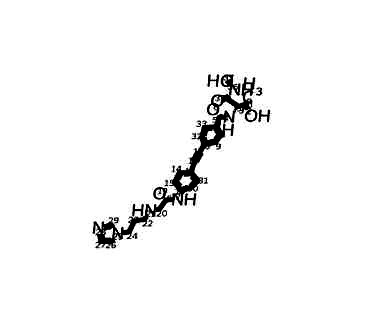 C[C@@H](O)[C@H](NC(=O)c1ccc(C#Cc2ccc(NC(=O)CNCCCn3ccnc3)cc2)cc1)C(=O)NO